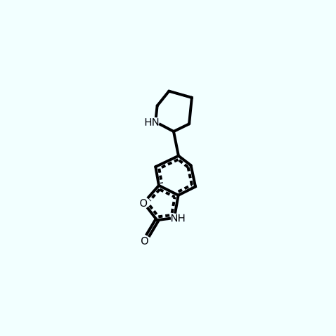 O=c1[nH]c2ccc(C3CCCCN3)cc2o1